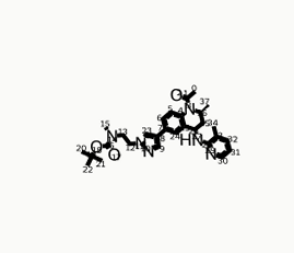 CC(=O)N1c2ccc(-c3cnn(CCN(C)C(=O)OC(C)(C)C)c3)cc2[C@H](Nc2ncccc2C)C[C@@H]1C